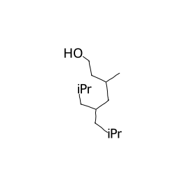 CC(C)CC(CC(C)C)CC(C)CCO